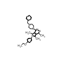 CCOc1ccc(-n2c(C)c3c(C)nnc(N4CCN(Cc5ccccc5)CC4)c3c2C)cc1